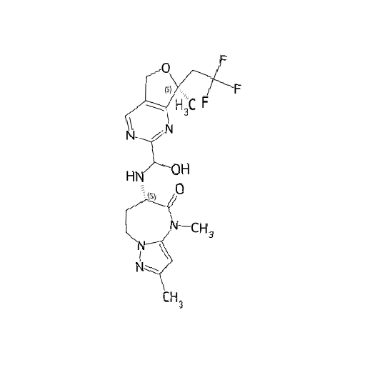 Cc1cc2n(n1)CC[C@H](NC(O)c1ncc3c(n1)[C@](C)(CC(F)(F)F)OC3)C(=O)N2C